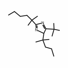 CCCCC(C)(C)C1=NC(C(C)(C)CCC)C(C(C)(C)C)=N1